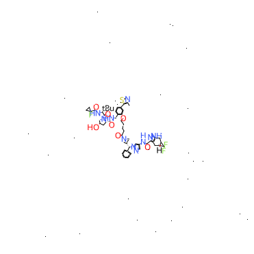 Cc1ncsc1-c1ccc(CNC(=O)[C@@H]2C[C@@H](O)CN2C(=O)C(NC(=O)C2(F)CC2)C(C)(C)C)c(OCCCCC(=O)N2CC([C@@H](c3ccccc3)n3cc(NC(=O)c4n[nH]c5c4C[C@@H]4C(F)(F)[C@]4(C)C5)cn3)C2)c1